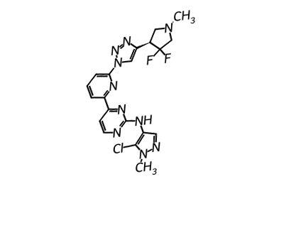 CN1C[C@H](c2cn(-c3cccc(-c4ccnc(Nc5cnn(C)c5Cl)n4)n3)nn2)C(F)(F)C1